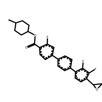 CC1CCC(OC(=O)c2ccc(-c3ccc(-c4ccc(C5CO5)c(F)c4F)cc3)cc2F)CC1